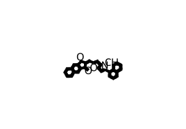 Cn1c(-c2cccc3ccccc23)cc2oc(C=C3C(=O)c4cc5ccccc5cc4C3=O)cc21